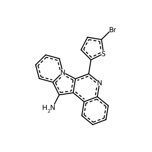 Nc1c2c3ccccc3nc(-c3ccc(Br)s3)c2n2ccccc12